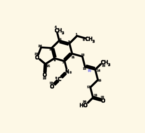 CCc1c(C)c2c(c(N=C=O)c1C/C=C(\C)CCC(=O)O)C(=O)OC2